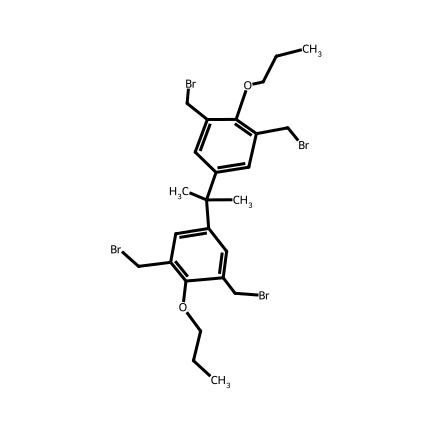 CCCOc1c(CBr)cc(C(C)(C)c2cc(CBr)c(OCCC)c(CBr)c2)cc1CBr